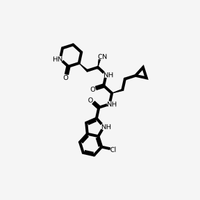 N#C[C@H](C[C@@H]1CCCNC1=O)NC(=O)[C@@H](CCC1CC1)NC(=O)c1cc2cccc(Cl)c2[nH]1